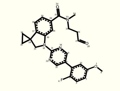 COc1ccc(F)c(-c2cnc(N3CC4(CC4)c4ccc(C(=O)N(C)CCC=O)cc43)nc2)c1